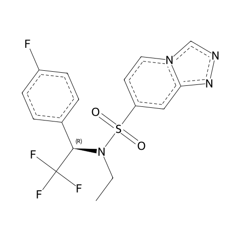 CCN([C@H](c1ccc(F)cc1)C(F)(F)F)S(=O)(=O)c1ccn2cnnc2c1